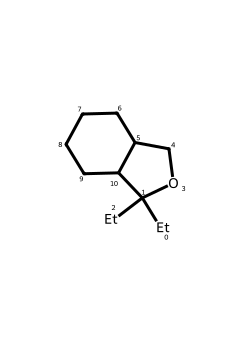 CCC1(CC)OCC2CCCCC21